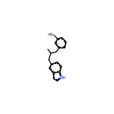 CCCCc1cccc(CC(C)Cc2ccc3[nH]ccc3c2)c1